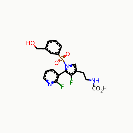 O=C(O)NCCc1cn(S(=O)(=O)c2cccc(CO)c2)c(-c2cccnc2F)c1F